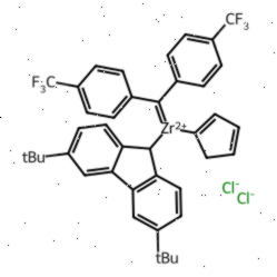 CC(C)(C)c1ccc2c(c1)-c1cc(C(C)(C)C)ccc1[CH]2[Zr+2]([C]1=CC=CC1)=[C](c1ccc(C(F)(F)F)cc1)c1ccc(C(F)(F)F)cc1.[Cl-].[Cl-]